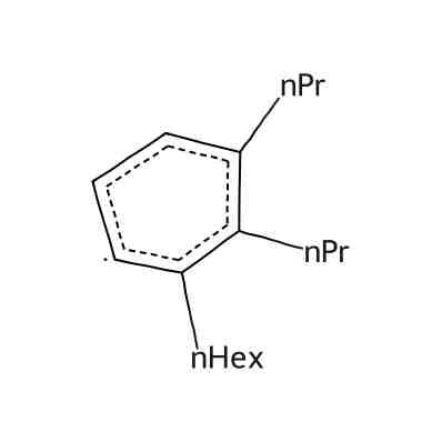 CCCCCCc1[c]ccc(CCC)c1CCC